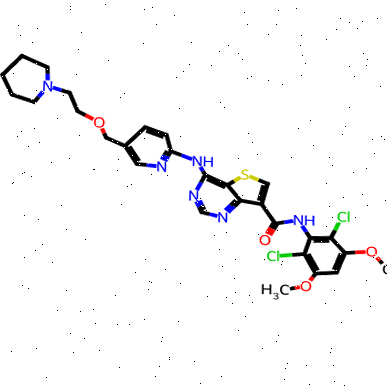 COc1cc(OC)c(Cl)c(NC(=O)c2csc3c(Nc4ccc(COCCN5CCCCC5)cn4)ncnc23)c1Cl